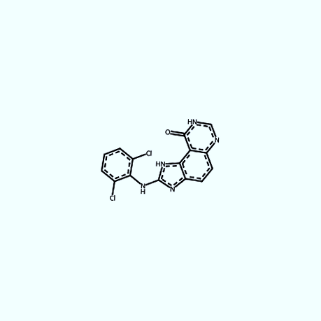 O=c1[nH]cnc2ccc3nc(Nc4c(Cl)cccc4Cl)[nH]c3c12